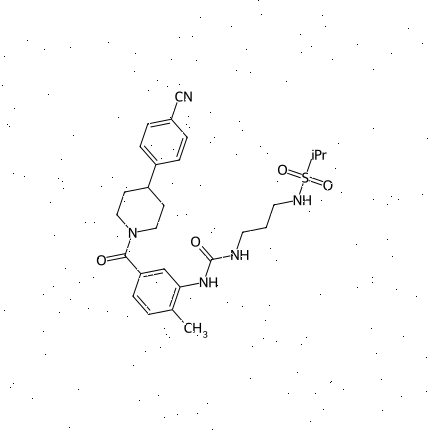 Cc1ccc(C(=O)N2CCC(c3ccc(C#N)cc3)CC2)cc1NC(=O)NCCCNS(=O)(=O)C(C)C